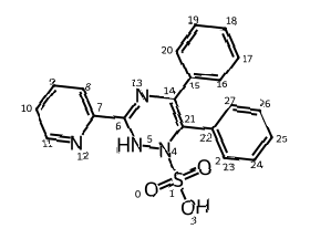 O=S(=O)(O)N1NC(c2ccccn2)=NC(c2ccccc2)=C1c1ccccc1